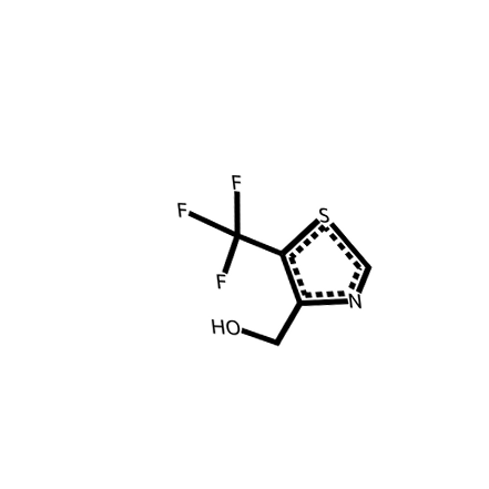 OCc1ncsc1C(F)(F)F